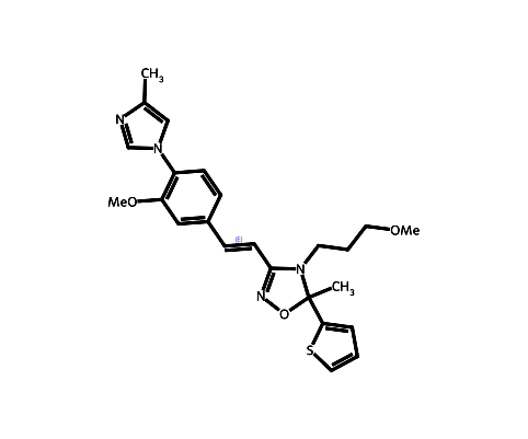 COCCCN1C(/C=C/c2ccc(-n3cnc(C)c3)c(OC)c2)=NOC1(C)c1cccs1